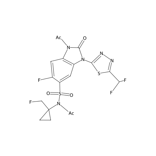 CC(=O)N(C1(CF)CC1)S(=O)(=O)c1cc2c(cc1F)n(C(C)=O)c(=O)n2-c1nnc(C(F)F)s1